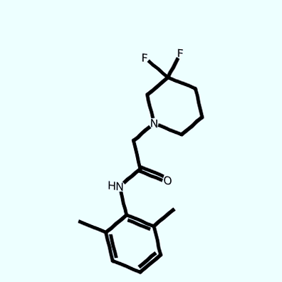 Cc1cccc(C)c1NC(=O)CN1CCCC(F)(F)C1